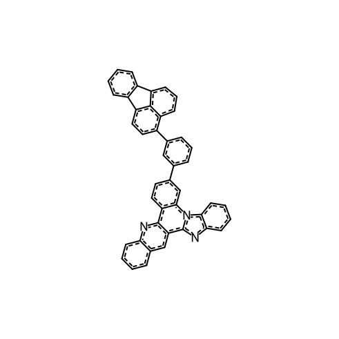 c1cc(-c2ccc3c4nc5ccccc5cc4c4nc5ccccc5n4c3c2)cc(-c2ccc3c4c(cccc24)-c2ccccc2-3)c1